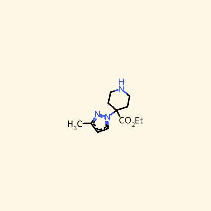 CCOC(=O)C1(n2ccc(C)n2)CCNCC1